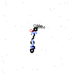 COc1cc2nc(CCCCN3CCN(c4ccc5ccccc5n4)CC3)n(C)c(=O)c2cc1OC